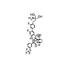 COc1cc(F)c(-c2ccc(CCC(N)(CO)CO)c(F)c2)cc1C(O)N[C@@H]1[C@H]2CC[C@H](C2)[C@@H]1C(=O)Nc1cccc(SC(F)(F)F)c1